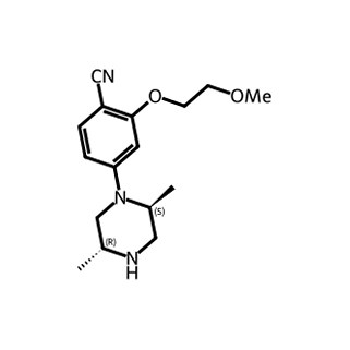 COCCOc1cc(N2C[C@@H](C)NC[C@@H]2C)ccc1C#N